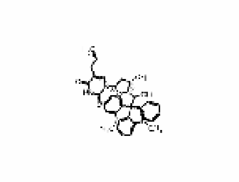 C=CCc1cn([C@H]2C[C@H](O)[C@@H](C(O)C(c3ccccc3)(c3ccccc3OC)c3ccccc3OC)O2)c(=O)[nH]c1=O